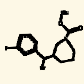 CC(C)(C)OC(=O)N1CCCC(C(Br)c2cccc(F)c2)C1